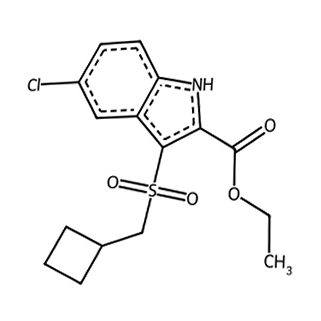 CCOC(=O)c1[nH]c2ccc(Cl)cc2c1S(=O)(=O)CC1CCC1